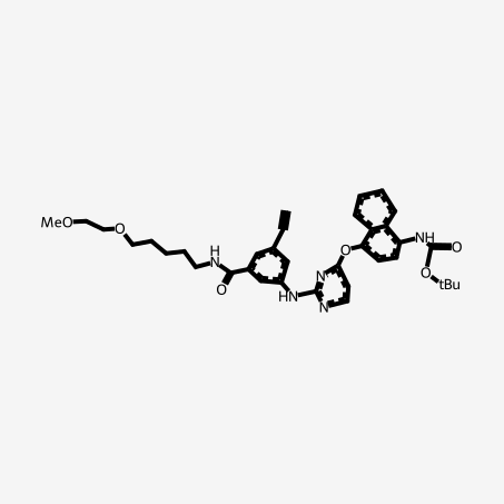 C#Cc1cc(Nc2nccc(Oc3ccc(NC(=O)OC(C)(C)C)c4ccccc34)n2)cc(C(=O)NCCCCCOCCOC)c1